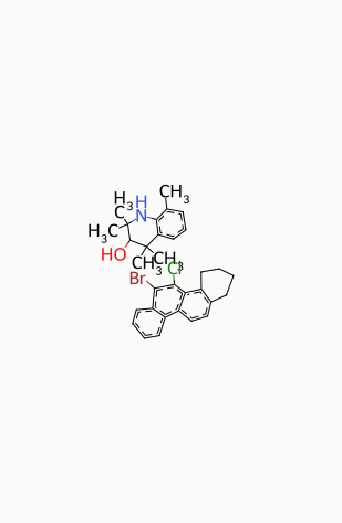 Cc1cccc2c1NC(C)(C)C(O)C2(C)C.Clc1c(Br)c2ccccc2c2ccc3c(c12)CCCC3